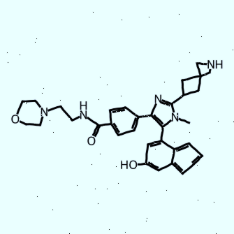 Cn1c(C2CC3(CNC3)C2)nc(-c2ccc(C(=O)NCCN3CCOCC3)cc2)c1-c1cc(O)cc2ccccc12